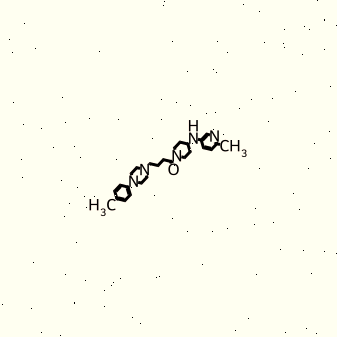 Cc1ccc(N2CCN(CCCC(=O)N3CCC(Nc4ccc(C)nc4)CC3)CC2)cc1